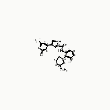 Cc1cc(-c2c[nH]c(C(=O)Nc3cccc(F)c3N3CCCC([AsH2])C3)n2)cc(Cl)n1